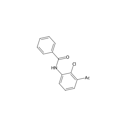 CC(=O)c1cccc(NC(=O)c2ccccc2)c1Cl